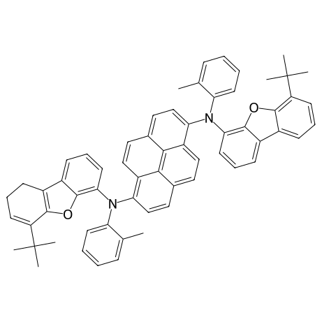 Cc1ccccc1N(c1ccc2ccc3c(N(c4ccccc4C)c4cccc5c4oc4c(C(C)(C)C)cccc45)ccc4ccc1c2c43)c1cccc2c3c(oc12)C(C(C)(C)C)=CCC3